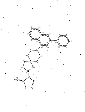 O[C@@H]1COC[C@H]1N1CCC2(CCN(c3nc(-c4ccncc4)nc4cnccc34)CC2)C1